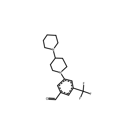 O=Cc1cc(N2CCC(N3CCCCC3)CC2)cc(C(F)(F)F)c1